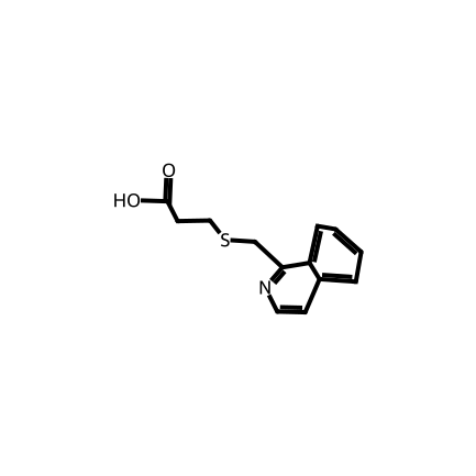 O=C(O)CCSCc1nccc2ccccc12